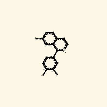 Cc1ccc2ccnc(-c3ccc(C)c(C)c3)c2c1